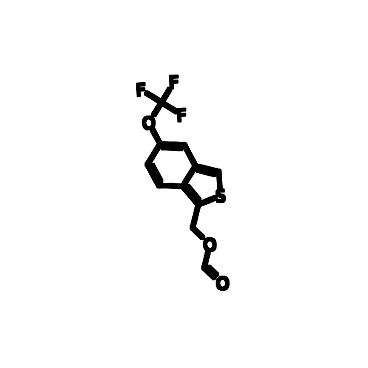 O=COCc1scc2cc(OC(F)(F)F)ccc12